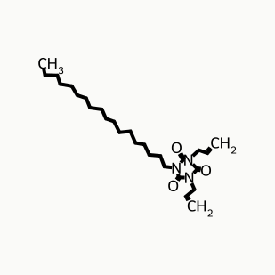 C=CCn1c(=O)n(CC=C)c(=O)n(CCCCCCCCCCCCCCCCCC)c1=O